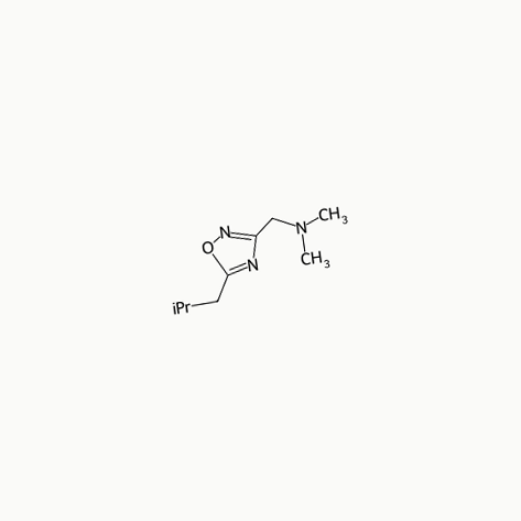 CC(C)Cc1nc(CN(C)C)no1